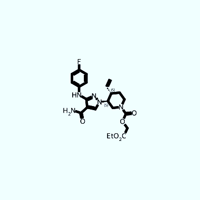 C=C[C@@H]1CCN(C(=O)OCC(=O)OCC)C[C@H]1n1cc(C(N)=O)c(Nc2ccc(F)cc2)n1